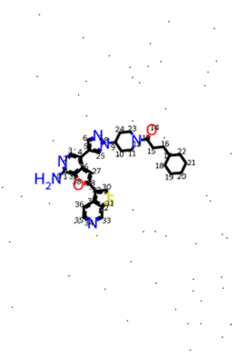 Nc1ncc(-c2cnn(C3CCN(C(=O)CCC4CCCCC4)CC3)c2)c2cc(-c3csc4cnccc34)oc12